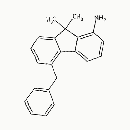 CC1(C)c2cccc(Cc3ccccc3)c2-c2cccc(N)c21